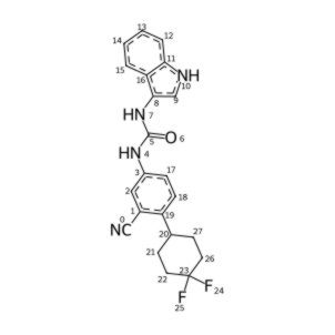 N#Cc1cc(NC(=O)Nc2c[nH]c3ccccc23)ccc1C1CCC(F)(F)CC1